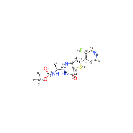 C[C@H](NC(=O)OC(C)(C)C)c1nc2cc(-c3ccncc3F)sc2c(=O)[nH]1